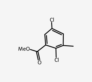 COC(=O)c1cc(Cl)cc(C)c1Cl